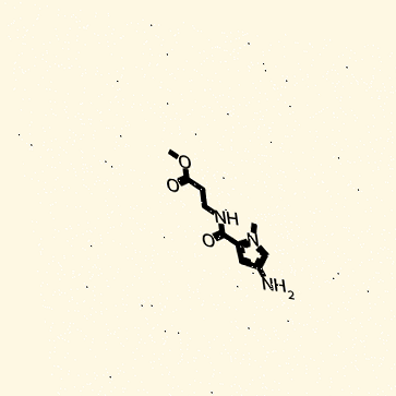 COC(=O)CCNC(=O)c1cc(N)cn1C